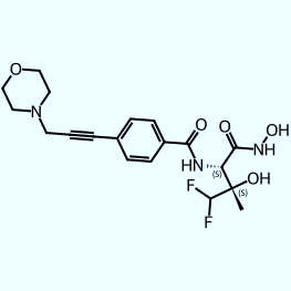 C[C@@](O)(C(F)F)[C@H](NC(=O)c1ccc(C#CCN2CCOCC2)cc1)C(=O)NO